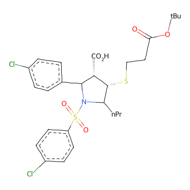 CCCC1[C@@H](SCCC(=O)OC(C)(C)C)[C@@H](C(=O)O)C(c2ccc(Cl)cc2)N1S(=O)(=O)c1ccc(Cl)cc1